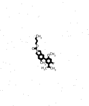 CCCCOC(=O)N1Cc2cc(C)c(-c3cc(C(C)C)c(F)cc3OC)cc2C1